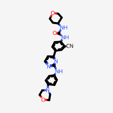 N#Cc1cc(-c2ccnc(Nc3ccc(N4CCOCC4)cc3)n2)ccc1NC(=O)NC1CCOCC1